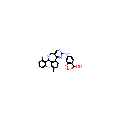 COc1cc(Nc2ncc3c(n2)-c2ccc(C)cc2C(c2c(C)cccc2F)=NC3)ccc1C(=O)O